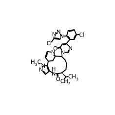 CC(C)[C@@H]1CCC[C@H](n2cnc(-c3cc(Cl)ccc3-n3cc(Cl)nn3)cc2=O)C2=NC=CC(C2)c2c(cnn2C)NC1=O